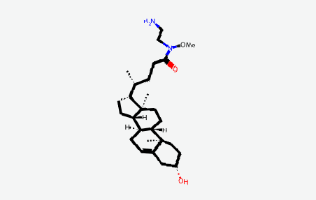 CON(CCN)C(=O)CC[C@@H](C)[C@H]1CC[C@H]2[C@@H]3CC=C4C[C@@H](O)CC[C@]4(C)[C@H]3CC[C@]12C